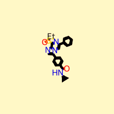 CC[S+]([O-])c1nc(-c2ccccc2)cn2c(-c3ccc(C(=O)NC4CC4)cc3)cnc12